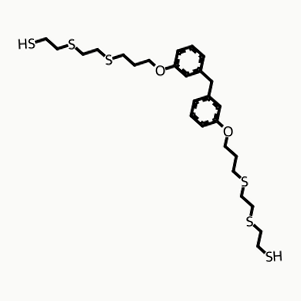 SCCSCCSCCCOc1cccc(Cc2cccc(OCCCSCCSCCS)c2)c1